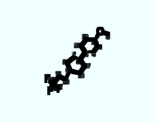 CO[C@H]1CC[C@H]([C@H]2CC[C@H](CCC(F)(F)F)CC2)CC1